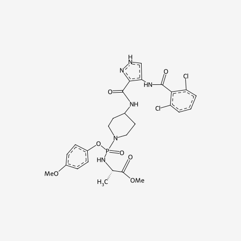 COC(=O)[C@H](C)NP(=O)(Oc1ccc(OC)cc1)N1CCC(NC(=O)c2n[nH]cc2NC(=O)c2c(Cl)cccc2Cl)CC1